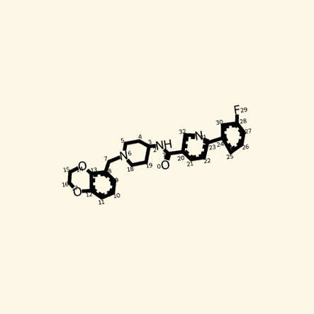 O=C(NC1CCN(Cc2cccc3c2OCCO3)CC1)c1ccc(-c2cccc(F)c2)nc1